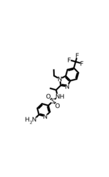 CCn1c(C(C)NS(=O)(=O)c2ccc(N)nc2)nc2ccc(C(F)(F)F)cc21